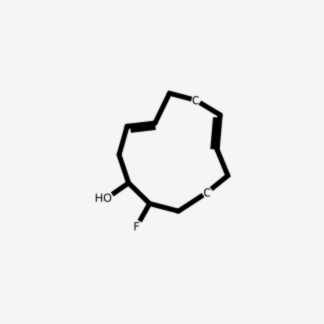 OC1C/C=C/CC/C=C/CCCC1F